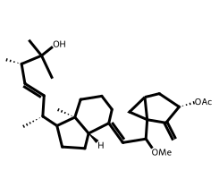 C=C1[C@@H](OC(C)=O)CC2CC12C(/C=C1\CCC[C@]2(C)C([C@H](C)/C=C/[C@H](C)C(C)(C)O)CC[C@@H]12)OC